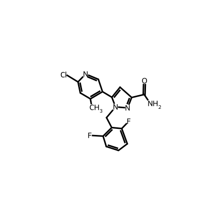 Cc1cc(Cl)ncc1-c1cc(C(N)=O)nn1Cc1c(F)cccc1F